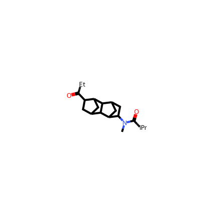 CCC(=O)C1CC2CC1C1C3CC(C21)C(N(C)C(=O)C(C)C)C3